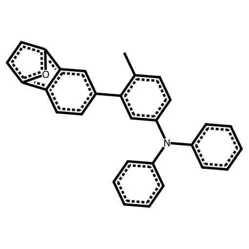 Cc1ccc(N(c2ccccc2)c2ccccc2)cc1-c1ccc2c3ccc(o3)c2c1